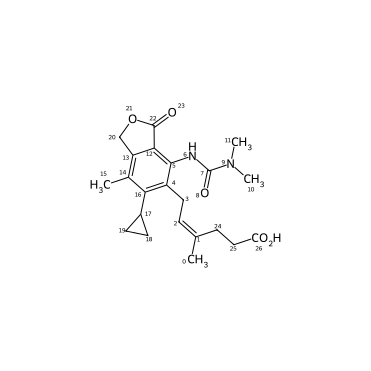 CC(=CCc1c(NC(=O)N(C)C)c2c(c(C)c1C1CC1)COC2=O)CCC(=O)O